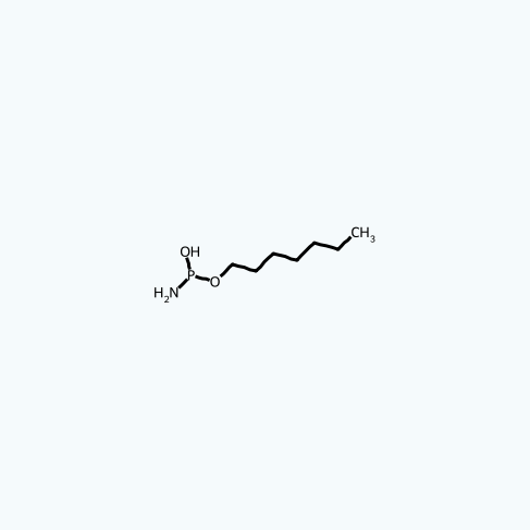 CCCCCCCOP(N)O